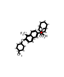 CC(c1ccc2c(C(F)(F)F)c(OC3CCC(C(F)(F)F)CC3)ccc2c1)N1C2CCCC1CC(C(=O)O)C2